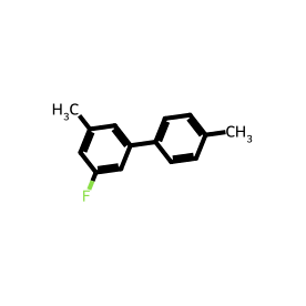 Cc1ccc(-c2cc(C)cc(F)c2)cc1